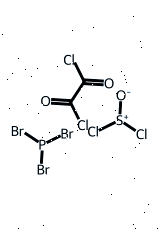 BrP(Br)Br.O=C(Cl)C(=O)Cl.[O-][S+](Cl)Cl